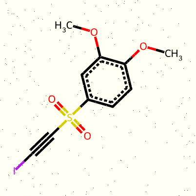 COc1ccc(S(=O)(=O)C#CI)cc1OC